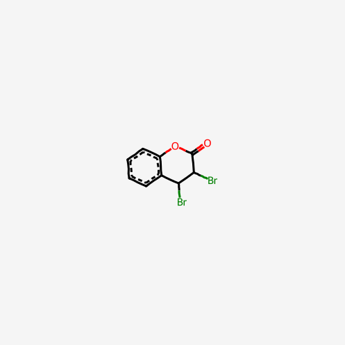 O=C1Oc2ccccc2C(Br)C1Br